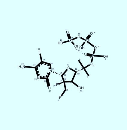 CC(C)(OP(=O)(O)OP(=O)(O)OP(=O)(O)O)[C@H]1O[C@@H](n2cc(F)c(N)nc2=O)[C@@](F)(CF)C1O